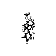 Cc1cn([C@@H]2O[C@@H]3COP(=S)(OC(C)C)O[C@H]3C2(Cl)Cl)c(=O)[nH]c1=O